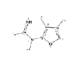 CC(=N)N(C)c1onc(C)c1C